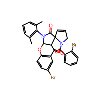 Cc1cccc(C)c1N1C(=O)C2(C=CCN2C(=O)c2ccccc2Br)C2C(=O)c3cc(Br)ccc3OC21